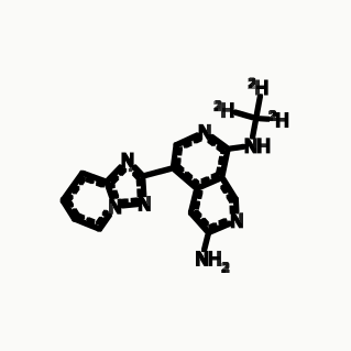 [2H]C([2H])([2H])Nc1ncc(-c2nc3ccccn3n2)c2cc(N)ncc12